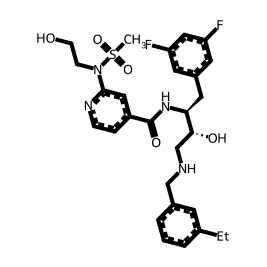 CCc1cccc(CNC[C@@H](O)[C@H](Cc2cc(F)cc(F)c2)NC(=O)c2ccnc(N(CCO)S(C)(=O)=O)c2)c1